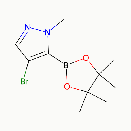 Cn1ncc(Br)c1B1OC(C)(C)C(C)(C)O1